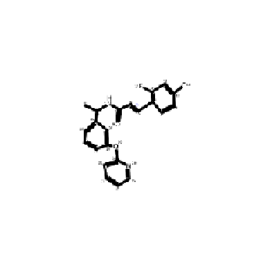 CC(NC(=O)/C=C/c1ccc(F)cc1F)c1cccc(Oc2ccccn2)c1